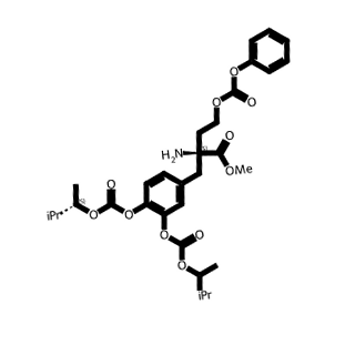 COC(=O)[C@@](N)(CCOC(=O)Oc1ccccc1)Cc1ccc(OC(=O)O[C@@H](C)C(C)C)c(OC(=O)OC(C)C(C)C)c1